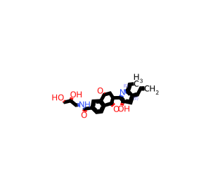 C=C/C=c1/cc(O)c(C2CC(=O)c3cc(C(=O)NCC(O)CO)ccc3C2=O)n/c1=C/C